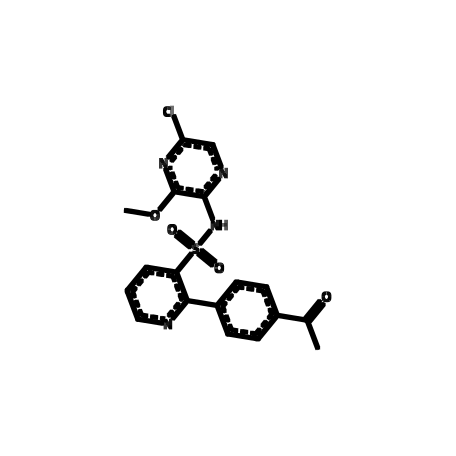 COc1nc(Cl)cnc1NS(=O)(=O)c1cccnc1-c1ccc(C(C)=O)cc1